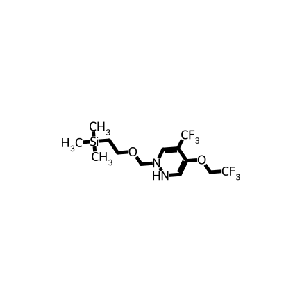 C[Si](C)(C)CCOCN1C=C(C(F)(F)F)C(OCC(F)(F)F)=CN1